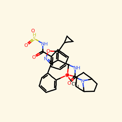 O=C(N[SH](=O)=O)c1ccc(NC(=O)N2C3CCC2CC(OCc2c(-c4ccccc4OC(F)(F)F)noc2C2CC2)C3)cc1